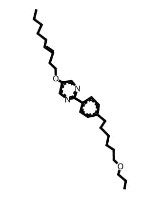 CCCCCC=CCCOc1cnc(-c2ccc(CCCCCCOCCC)cc2)nc1